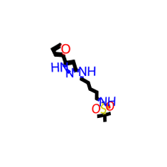 CC(C)(C)S(=O)(=O)NCCCCCNc1cc(-c2ccco2)[nH]n1